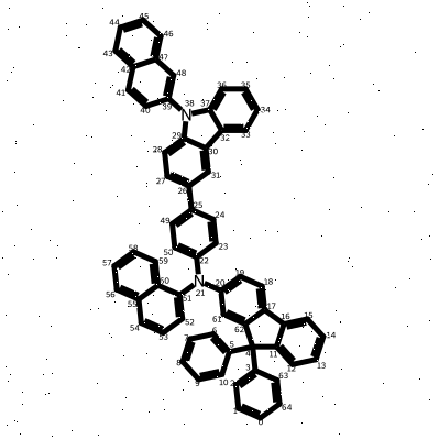 c1ccc(C2(c3ccccc3)c3ccccc3-c3ccc(N(c4ccc(-c5ccc6c(c5)c5ccccc5n6-c5ccc6ccccc6c5)cc4)c4cccc5ccccc45)cc32)cc1